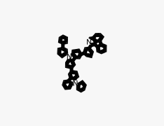 c1ccc(-c2cccc(-n3c4ccc(-c5cccc(-c6ncc7cccc8c7c6-c6ccccc6-8)c5)cc4c4cc(-c5ccc6c(c5)c5ccccc5n6-c5ccccc5)ccc43)c2)cc1